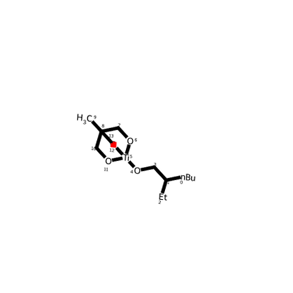 CCCCC(CC)C[O][Ti]12[O]CC(C)(C[O]1)C[O]2